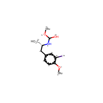 CC(C)(C)Oc1ccc(C[C@@H](NC(O)OC(C)(C)C)C(=O)O)cc1I